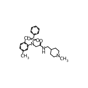 Cc1ccc(Cl)c(N(CC(=O)NCC2CCN(C)CC2)S(=O)(=O)c2ccccc2)c1